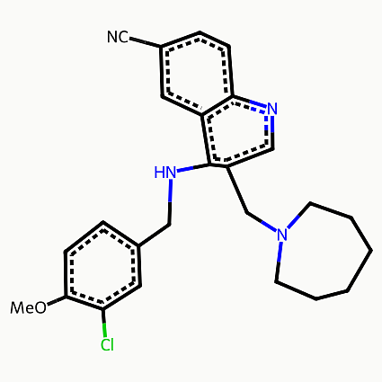 COc1ccc(CNc2c(CN3CCCCCC3)cnc3ccc(C#N)cc23)cc1Cl